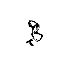 CC(C)N1CCCc2nc3ccccc3n2C1